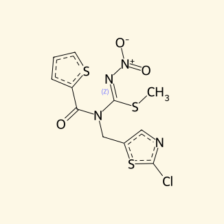 CS/C(=N\[N+](=O)[O-])N(Cc1cnc(Cl)s1)C(=O)c1cccs1